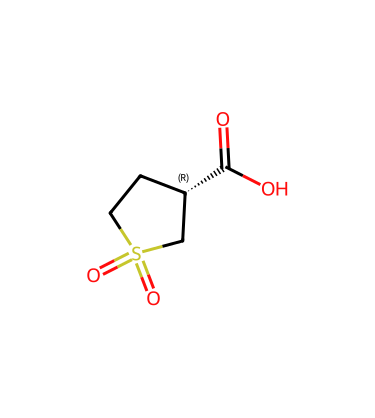 O=C(O)[C@H]1CCS(=O)(=O)C1